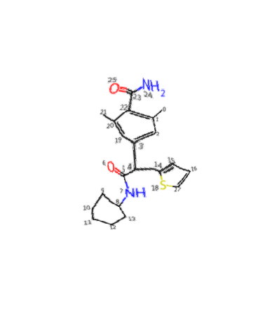 Cc1cc(C(C(=O)NC2CCCCC2)c2cccs2)cc(C)c1C(N)=O